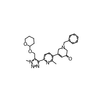 Cc1nc(-c2nnn(C)c2COC2CCCCO2)ccc1C1=CC(=O)CN(Cc2ccccc2)C1